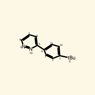 CC(C)(C)c1ccc(-c2cccnn2)cc1